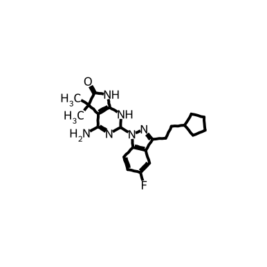 CC1(C)C(=O)NC2=C1C(N)=NC(n1nc(CCC3CCCC3)c3cc(F)ccc31)N2